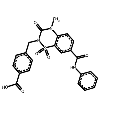 CN1C(=O)N(Cc2ccc(C(=O)O)cc2)S(=O)(=O)c2cc(C(=O)Nc3ccccc3)ccc21